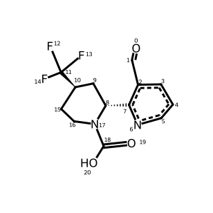 O=Cc1cccnc1[C@H]1C[C@H](C(F)(F)F)CCN1C(=O)O